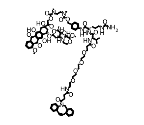 COc1cccc2c1C(=O)c1c(O)c3c(c(O)c1C2=O)C[C@@](O)(C(=O)COC(=O)N(C)CCN(C)C(=O)OCc1ccc(NC(=O)[C@H](CCCNC(N)=O)NC(=O)[C@@H](NC(=O)CCOCCOCCOCCOCCNC(=O)CCC(=O)N2Cc4ccccc4C#Cc4ccccc42)C(C)C)cc1)C[C@@H]3OC1C[C@H]2[C@H](O[C@@H]3[C@@H](OC)OCCN32)[C@H](C)O1